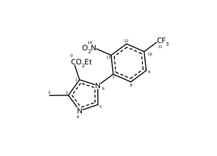 CCOC(=O)c1c(C)ncn1-c1ccc(C(F)(F)F)cc1[N+](=O)[O-]